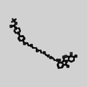 CC(C)(C)OC(=O)N1CCN(c2ccc(OCCOCCOCCOCCOCCNc3cccc4c3C(=O)N(C3CCC(=O)NC3=O)C4=O)cc2)CC1